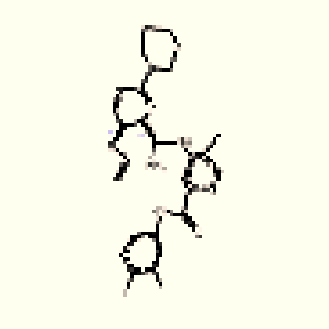 C=C/N=C1/C=NC(N2CCCCC2)=N/C1=C(/N)Nc1cc(C(=O)Nc2ccc(F)c(C(F)(F)F)c2)ccc1C